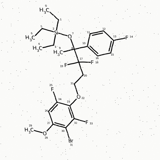 CC[Si](CC)(CC)OC(C)(c1ccc(F)cc1)C(F)(F)CCOc1c(F)cc(OC)c(Br)c1F